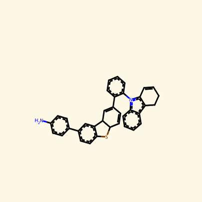 Nc1ccc(-c2ccc3c(c2)C2C=C(c4ccccc4-n4c5c(c6ccccc64)CCC=C5)C=CC2S3)cc1